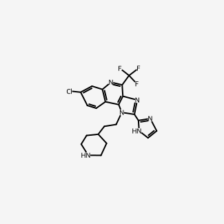 FC(F)(F)c1nc2cc(Cl)ccc2c2c1nc(-c1ncc[nH]1)n2CCC1CCNCC1